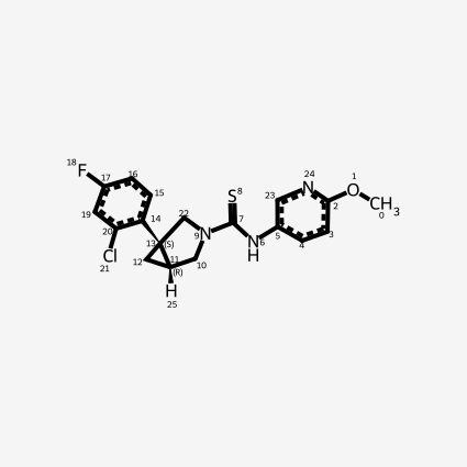 COc1ccc(NC(=S)N2C[C@@H]3C[C@]3(c3ccc(F)cc3Cl)C2)cn1